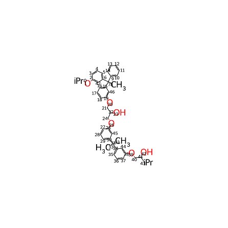 CC(C)Oc1cccc(C(C)(c2ccccc2)c2cccc(OCC(O)COc3cccc(C(C)(C)c4cccc(OCC(O)C(C)C)c4)c3)c2)c1